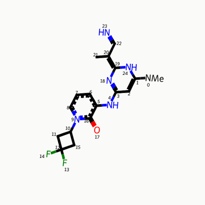 CNC1=CC(Nc2cccn(C3CC(F)(F)C3)c2=O)=N/C(=C(\C)C=N)N1